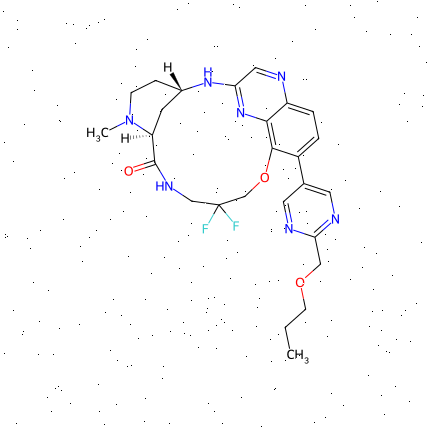 CCCOCc1ncc(-c2ccc3ncc4nc3c2OCC(F)(F)CNC(=O)[C@@H]2C[C@H](CCN2C)N4)cn1